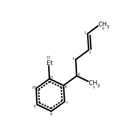 CC=CCC(C)c1ccccc1CC